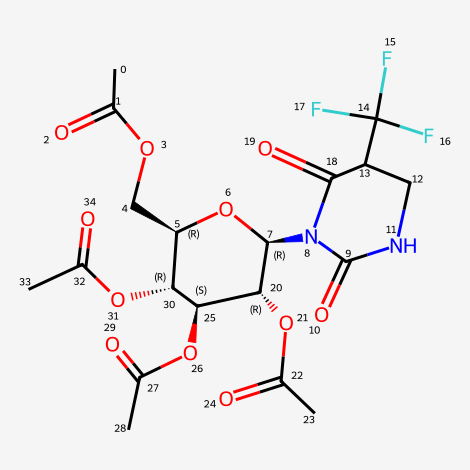 CC(=O)OC[C@H]1O[C@@H](N2C(=O)NCC(C(F)(F)F)C2=O)[C@H](OC(C)=O)[C@@H](OC(C)=O)[C@@H]1OC(C)=O